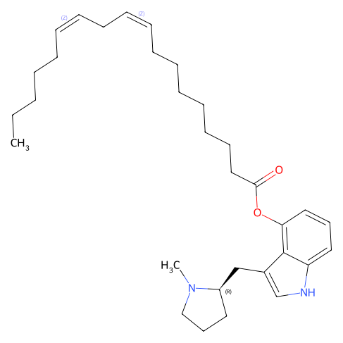 CCCCC/C=C\C/C=C\CCCCCCCC(=O)Oc1cccc2[nH]cc(C[C@H]3CCCN3C)c12